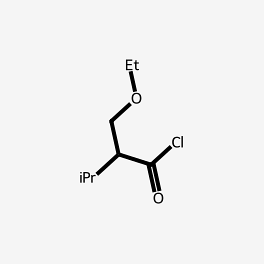 CCOCC(C(=O)Cl)C(C)C